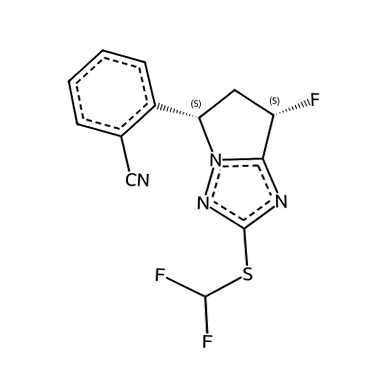 N#Cc1ccccc1[C@@H]1C[C@H](F)c2nc(SC(F)F)nn21